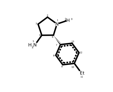 [2H]N1CCC(N)[C@H]1c1ccc(CC)cc1